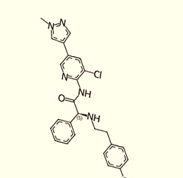 Cn1cc(-c2cnc(NC(=O)[C@@H](NCCc3ccc(C#N)cc3)c3ccccc3)c(Cl)c2)cn1